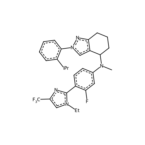 CCn1cc(C(F)(F)F)nc1-c1ccc(N(C)C2CCCc3nn(-c4ccccc4C(C)C)cc32)cc1F